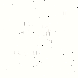 COc1cc(OC2(N3C=C(NC=O)C=NC3N3CCC(CO)CC3)C(C)(C)CC2(C)C)ccc1C#N